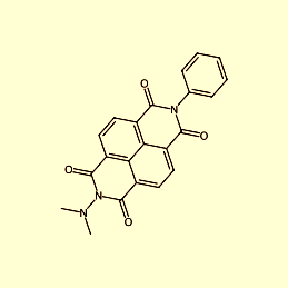 CN(C)N1C(=O)c2ccc3c4c(ccc(c24)C1=O)C(=O)N(c1ccccc1)C3=O